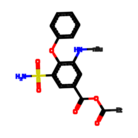 CCCCNc1cc(C(=O)OC(=O)CC)cc(S(N)(=O)=O)c1Oc1ccccc1